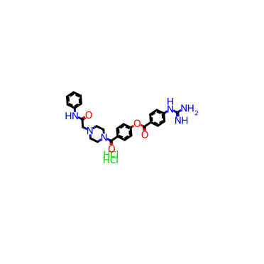 Cl.Cl.N=C(N)Nc1ccc(C(=O)Oc2ccc(C(=O)N3CCN(CC(=O)Nc4ccccc4)CC3)cc2)cc1